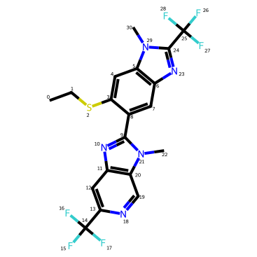 CCSc1cc2c(cc1-c1nc3cc(C(F)(F)F)ncc3n1C)nc(C(F)(F)F)n2C